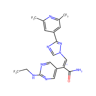 NC(=O)/C(=C/n1cnc(-c2cc(C(F)(F)F)nc(C(F)(F)F)c2)n1)c1cnc(NCC(F)(F)F)nc1